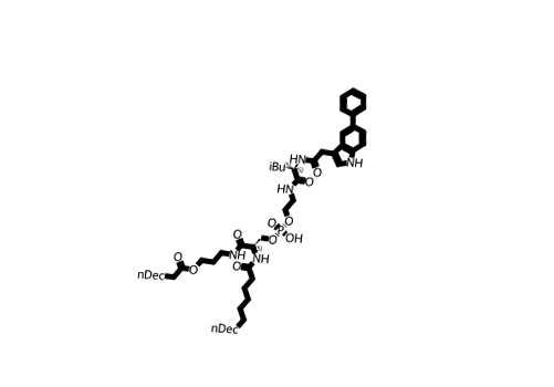 CCCCCCCCCCCCCCCC(=O)N[C@@H](COP(=O)(O)OCCNC(=O)[C@@H](NC(=O)Cc1c[nH]c2ccc(-c3ccccc3)cc12)[C@@H](C)CC)C(=O)NCCCOC(=O)CCCCCCCCCCC